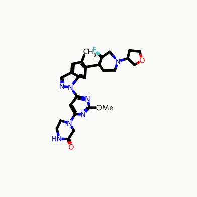 COc1nc(N2CCNC(=O)C2)cc(-n2ncc3cc(C)c(C4CCN(C5CCOC5)CC4F)cc32)n1